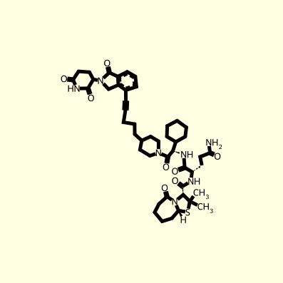 CC1(C)S[C@@H]2CCCCC(=O)N2[C@@H]1C(=O)N[C@@H](CCC(N)=O)C(=O)N[C@H](C(=O)N1CCC(CCCC#Cc2cccc3c2CN(C2CCC(=O)NC2=O)C3=O)CC1)C1CCCCC1